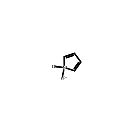 [CH2]CC[N+]1([O-])C=CC=C1